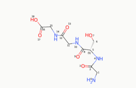 NCC(=O)N[C@@H](CO)C(=O)NCC(=O)NCC(=O)O